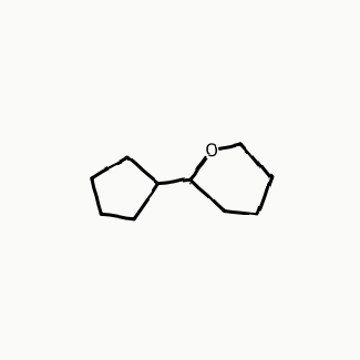 C1CC[C](C2CCCC2)OC1